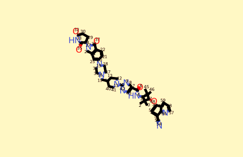 CC1(C)C(NC(=O)c2cnc(N3CCC(CN4CCN(c5ccc6c(c5)CN(C5CCC(=O)NC5=O)C6=O)CC4)CC3)nc2)C(C)(C)C1Oc1ccc(C#N)c2ncccc12